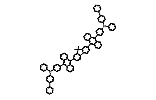 CC1(C)c2cc(-c3c4ccccc4c(-c4ccc(N(c5ccccc5)c5ccc(-c6ccccc6)cc5)cc4)c4ccccc34)ccc2-c2ccc(-c3c4ccccc4c(-c4ccc(N(c5ccccc5)c5ccc(-c6ccccc6)cc5)cc4)c4ccccc34)cc21